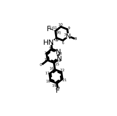 Cc1cc(N[C@H]2CN(C)CC[C@H]2F)nnc1-c1ccc(F)cc1